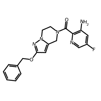 Nc1cc(F)cnc1C(=O)N1CCn2nc(OCc3ccccc3)cc2C1